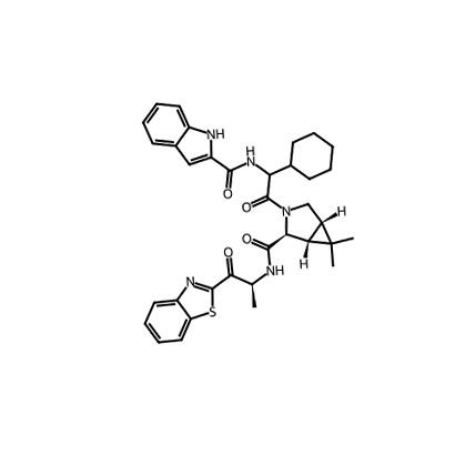 C[C@H](NC(=O)[C@@H]1[C@@H]2[C@H](CN1C(=O)C(NC(=O)c1cc3ccccc3[nH]1)C1CCCCC1)C2(C)C)C(=O)c1nc2ccccc2s1